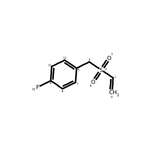 C=CS(=O)(=O)Cc1ccc(F)cc1